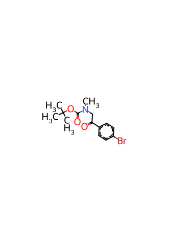 CN(CC(=O)c1ccc(Br)cc1)C(=O)OC(C)(C)C